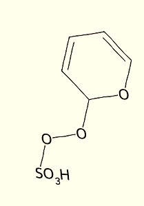 O=S(=O)(O)OOC1C=CC=CO1